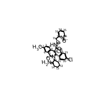 Cc1ccc2c(c1)C(=O)N([C@H]1CCCC[C@@H]1N)[C@@H](c1ccc(Cl)cc1Cl)[C@@H]2C(=O)NOCc1cccc[n+]1[O-]